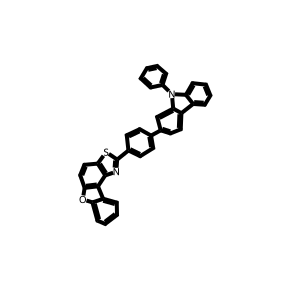 c1ccc(-n2c3ccccc3c3ccc(-c4ccc(-c5nc6c(ccc7oc8ccccc8c76)s5)cc4)cc32)cc1